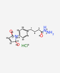 Cl.NNC(=O)CCCc1ccc(N2C(=O)C=CC2=O)cc1